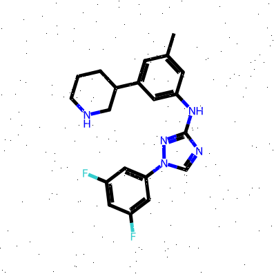 Cc1cc(Nc2ncn(-c3cc(F)cc(F)c3)n2)cc(C2CCCNC2)c1